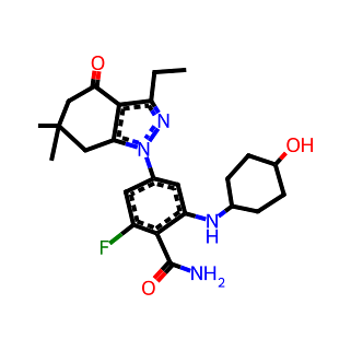 CCc1nn(-c2cc(F)c(C(N)=O)c(NC3CCC(O)CC3)c2)c2c1C(=O)CC(C)(C)C2